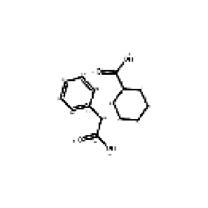 O=C(O)C1CCCCC1.O=C(O)Cc1ccccc1